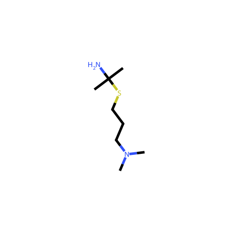 CN(C)CCCSC(C)(C)N